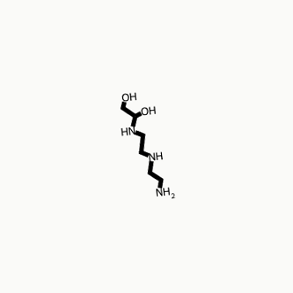 NCCNCCNC(O)CO